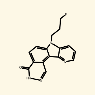 O=c1[nH]ncc2c1ccc1c2c2ncccc2n1CCCF